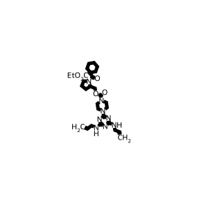 C=CCNc1nc(NCC=C)nc(N2CCN(C(=O)OCC3CCCN3C(=O)C3(C(=O)OCC)CCCCC3)CC2)n1